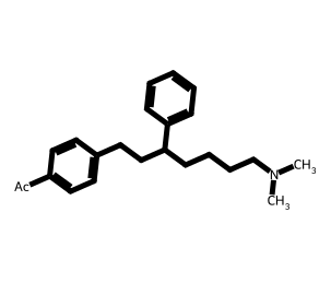 CC(=O)c1ccc(CCC(CCCCN(C)C)c2ccccc2)cc1